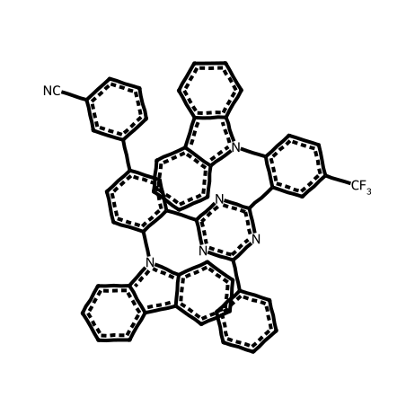 N#Cc1cccc(-c2ccc(-n3c4ccccc4c4ccccc43)c(-c3nc(-c4ccccc4)nc(-c4cc(C(F)(F)F)ccc4-n4c5ccccc5c5ccccc54)n3)c2)c1